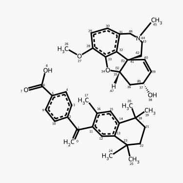 C=C(c1ccc(C(=O)O)cc1)c1cc2c(cc1C)C(C)(C)CCC2(C)C.COc1ccc2c3c1O[C@H]1C[C@@H](O)C=C[C@@]31CCN(C)C2